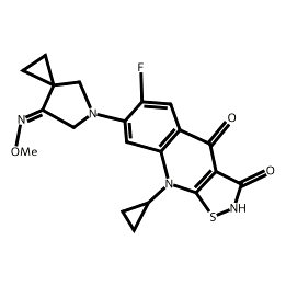 CON=C1CN(c2cc3c(cc2F)c(=O)c2c(=O)[nH]sc2n3C2CC2)CC12CC2